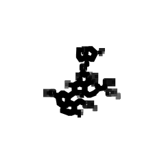 CCc1c(F)ccc2cc(O)cc(-c3nc4c5c(nc(OC[C@@]67CCCN6C[C@H](F)C7)nc5c3F)N[C@@H]([C@@H](C)O)CC4)c12